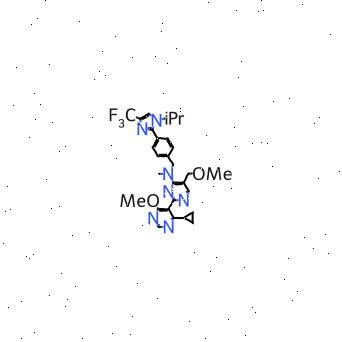 COCc1cnc(-c2c(OC)ncnc2C2CC2)nc1N(C)Cc1ccc(-c2nc(C(F)(F)F)cn2C(C)C)cc1